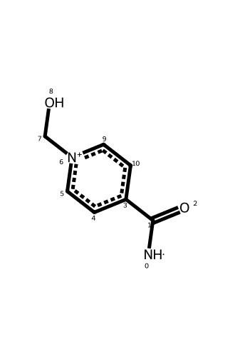 [NH]C(=O)c1cc[n+](CO)cc1